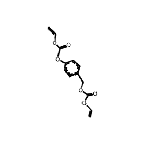 C=COC(=O)OCc1ccc(OC(=O)OC=C)cc1